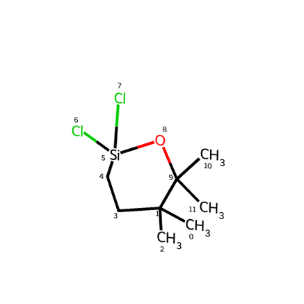 CC1(C)CC[Si](Cl)(Cl)OC1(C)C